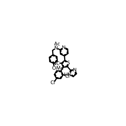 COc1ccc(CN(C(C)=O)c2cc(-c3sc(-c4ncc[nH]4)c(-c4ccc(Cl)cc4Cl)c3C#N)ccn2)cc1